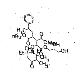 CCCCOC(=O)C(CC(C)c1ccccc1)C(C(=O)OC)C(ON1C(C)(CC)CC(=O)C(C)C1(C)CC)C(=O)OCC(O)CO